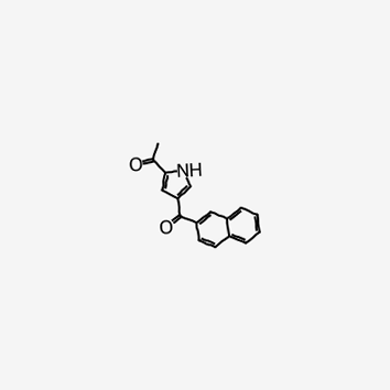 CC(=O)c1cc(C(=O)c2ccc3ccccc3c2)c[nH]1